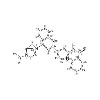 CC(C)N1CC2CC1CN2c1nc(-c2ccnc(N[C@@H](C)c3ccccc3)c2)nc2ccccc12